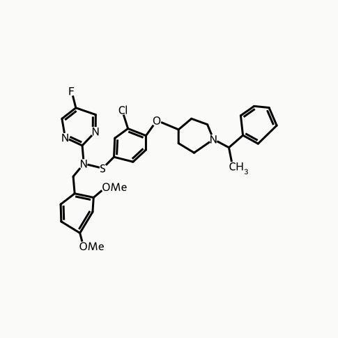 COc1ccc(CN(Sc2ccc(OC3CCN(C(C)c4ccccc4)CC3)c(Cl)c2)c2ncc(F)cn2)c(OC)c1